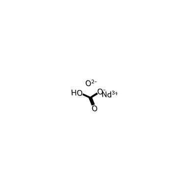 O=C([O-])O.[Nd+3].[O-2]